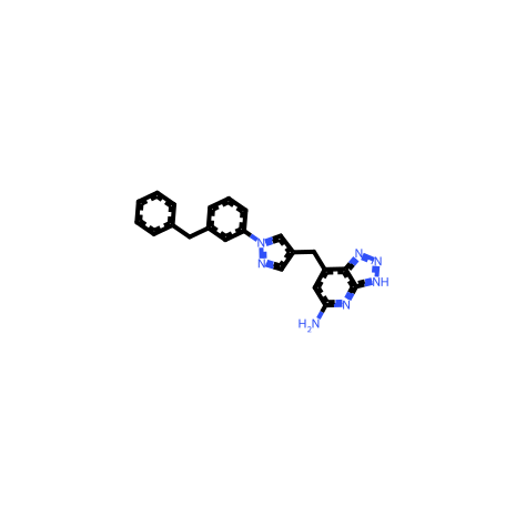 Nc1cc(Cc2cnn(-c3cccc(Cc4ccccc4)c3)c2)c2nn[nH]c2n1